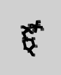 CC1CCN(C[Si](C)(C)O[Si](C)(C)C)CC1